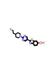 Oc1ccc2nc(-c3cnc(N4CCC(CCF)CC4)nc3)sc2c1